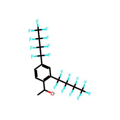 CC([O])c1ccc(C(F)(F)C(F)(F)C(F)(F)C(F)(F)F)cc1C(F)(F)C(F)(F)C(F)(F)C(F)(F)F